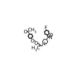 CC(=O)c1ccc(OCOC[C@@H](C)CN2CCC(c3noc4cc(F)ccc34)CC2)cc1